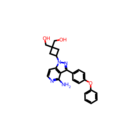 Nc1nccc2c1c(-c1ccc(Oc3ccccc3)cc1)nn2C1CC(CO)(CO)C1